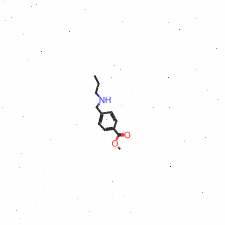 CCCNCc1ccc(C(=O)OC)cc1